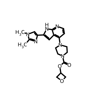 Cc1nc(-c2cc3c(N4CCN(C(=O)OC5COC5)CC4)ccnc3[nH]2)cn1C